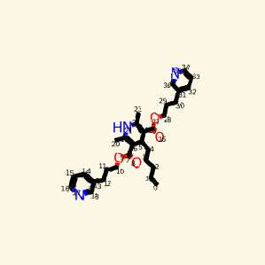 CCCCCC1C(C(=O)OCCCc2cccnc2)=C(C)NC(C)=C1C(=O)OCCCc1cccnc1